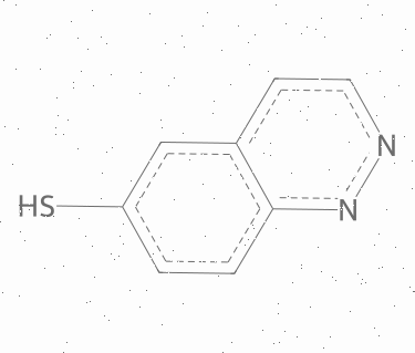 Sc1ccc2nnccc2c1